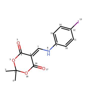 CC1(C)OC(=O)C(=CNc2ccc(I)cc2)C(=O)O1